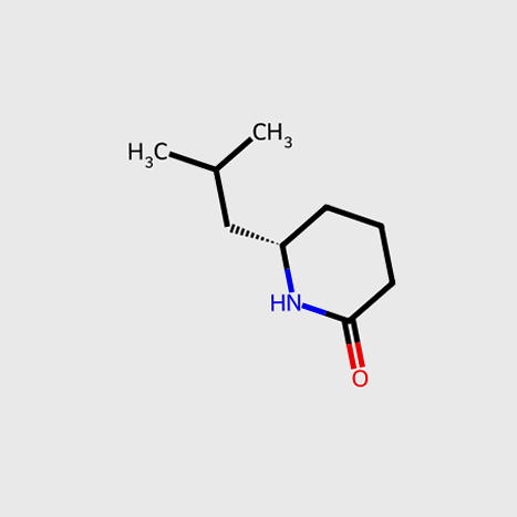 CC(C)C[C@@H]1CCCC(=O)N1